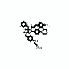 COCCNc1ccc(CN(C)C(=O)C(I)(Cc2ccccc2)N(Cc2ccc(N3CCOCC3)cc2)C(=O)C=Cc2ccc(C(F)(F)F)nc2)cc1